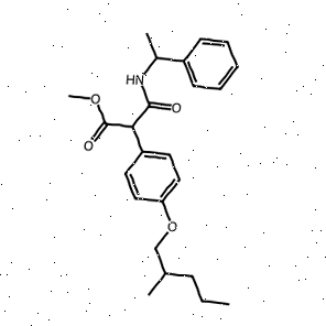 CCCC(C)COc1ccc(C(C(=O)NC(C)c2ccccc2)C(=O)OC)cc1